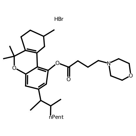 Br.CCCCCC(C)C(C)c1cc(OC(=O)CCCN2CCOCC2)c2c(c1)OC(C)(C)C1=C2CC(C)CC1